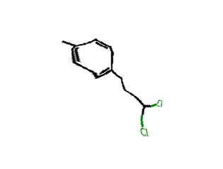 Cc1ccc(CCC(Cl)Cl)cc1